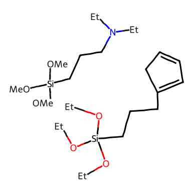 CCN(CC)CCC[Si](OC)(OC)OC.CCO[Si](CCCC1=CC=CC1)(OCC)OCC